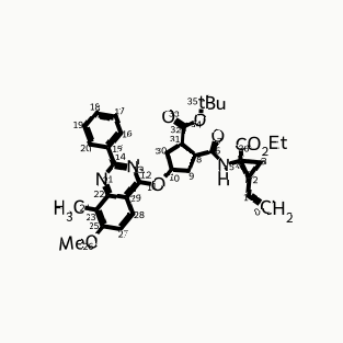 C=CC1CC1(NC(=O)C1CC(Oc2nc(-c3ccccc3)nc3c(C)c(OC)ccc23)CC1C(=O)OC(C)(C)C)C(=O)OCC